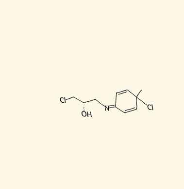 CC1(Cl)C=CC(=NC[C@H](O)CCl)C=C1